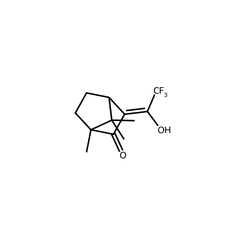 CC12CCC(/C(=C(/O)C(F)(F)F)C1=O)C2(C)C